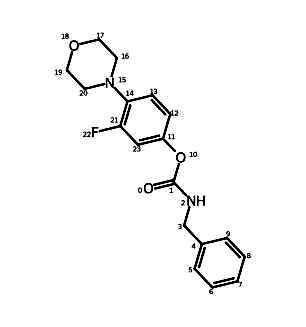 O=C(NCc1ccccc1)Oc1ccc(N2CCOCC2)c(F)c1